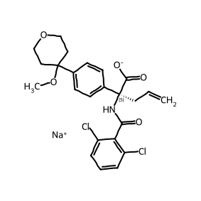 C=CC[C@@](NC(=O)c1c(Cl)cccc1Cl)(C(=O)[O-])c1ccc(C2(OC)CCOCC2)cc1.[Na+]